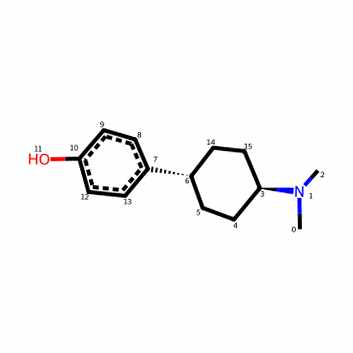 CN(C)[C@H]1CC[C@H](c2ccc(O)cc2)CC1